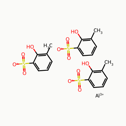 Cc1cccc(S(=O)(=O)[O-])c1O.Cc1cccc(S(=O)(=O)[O-])c1O.Cc1cccc(S(=O)(=O)[O-])c1O.[Al+3]